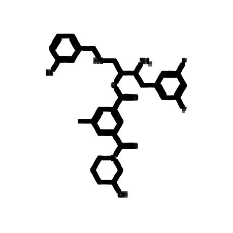 CCc1cccc(CNCC(OC(=O)c2cc(C)cc(C(=O)N3CCCC(O)C3)c2)C(N)Cc2cc(F)cc(F)c2)c1